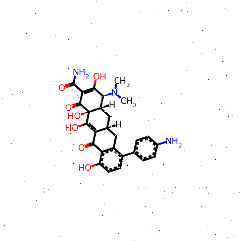 CN(C)[C@@H]1C(O)=C(C(N)=O)C(=O)[C@@]2(O)C(O)=C3C(=O)c4c(O)ccc(-c5ccc(N)cc5)c4C[C@H]3C[C@@H]12